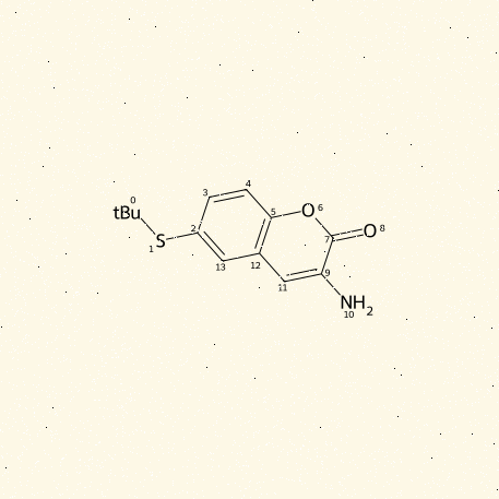 CC(C)(C)Sc1ccc2oc(=O)c(N)cc2c1